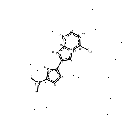 CN(C)c1ccc(-c2cn3c(I)ncnc3n2)s1